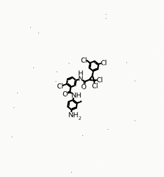 Cc1cc(N)ccc1NC(=O)c1cc(NC(=O)C2C(c3cc(Cl)cc(Cl)c3)C2(Cl)Cl)ccc1Cl